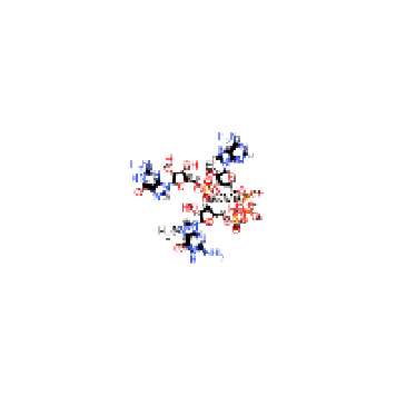 CCO[C@@H]1[C@H](OP(=O)([O-])OC[C@H]2O[C@@H](n3cnc4c(=O)[nH]c(N)nc43)[C@H](O)[C@@H]2O)[C@@H](COP(=O)(O)OP(=O)(O)OP(=O)(O)OC[C@H]2O[C@@H](n3c[n+](C)c4c(=O)[nH]c(N)nc43)[C@H](O)[C@@H]2COC)O[C@H]1n1cnc2c(N)ncnc21